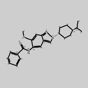 COc1cc2nn([C@H]3CC[C@H](C(C)C)CC3)cc2cc1NC(=O)c1ccccc1